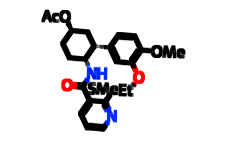 CCOc1cc([C@H]2C[C@H](OC(C)=O)CC[C@H]2NC(=O)c2cccnc2SC)ccc1OC